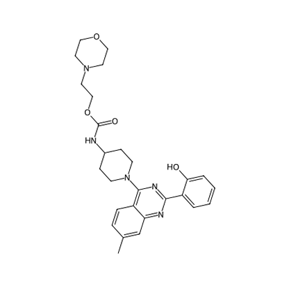 Cc1ccc2c(N3CCC(NC(=O)OCCN4CCOCC4)CC3)nc(-c3ccccc3O)nc2c1